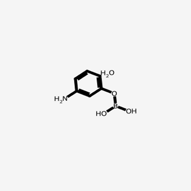 Nc1cccc(OB(O)O)c1.O